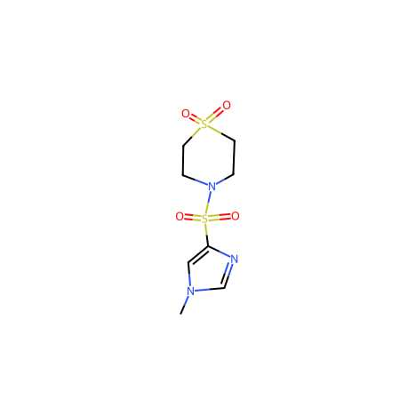 Cn1cnc(S(=O)(=O)N2CCS(=O)(=O)CC2)c1